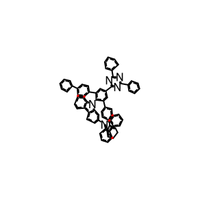 C1=CC(c2ccc(-c3cc(-c4nc(-c5ccccc5)nc(-c5ccccc5)n4)cc(-c4ccc(-c5ccccc5)cc4)c3-n3c4ccccc4c4ccc(-n5c6ccccc6c6ccccc65)cc43)cc2)=CCC1